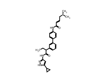 CCC(C(=O)Nc1cc(C2CC2)[nH]n1)c1cccc(-c2ccc(NC(=O)/C=C/CN(C)C)cc2)c1